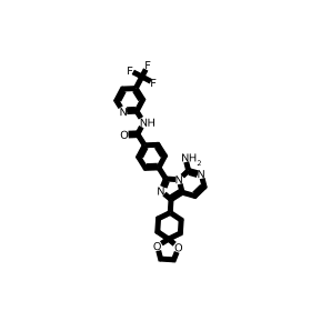 Nc1nccc2c(C3CCC4(CC3)OCCO4)nc(-c3ccc(C(=O)Nc4cc(C(F)(F)F)ccn4)cc3)n12